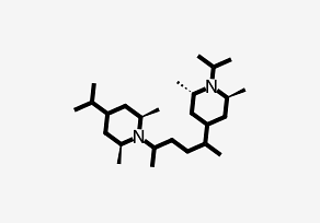 CC(C)C1C[C@@H](C)N(C(C)CCC(C)C2C[C@H](C)N(C(C)C)[C@@H](C)C2)[C@@H](C)C1